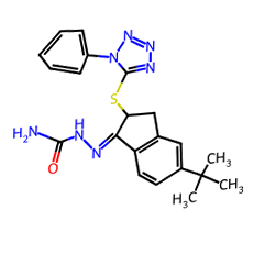 CC(C)(C)c1ccc2c(c1)CC(Sc1nnnn1-c1ccccc1)C2=NNC(N)=O